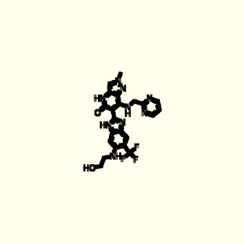 Cn1cc2[nH]c(=O)c(-c3nc4cc(C(F)(F)F)c(NCCO)cc4[nH]3)c(NCc3ncccn3)c2n1